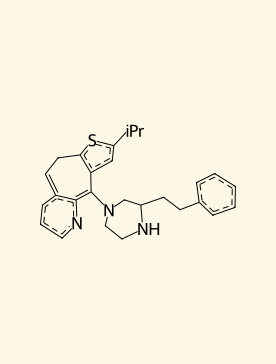 CC(C)c1cc2c(s1)CC=c1cccnc1=C2N1CCNC(CCc2ccccc2)C1